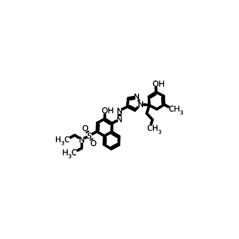 CCCC1(n2cc(N=Nc3c(O)cc(S(=O)(=O)N(CC)CC)c4ccccc34)cn2)C=C(O)C=C(C)C1